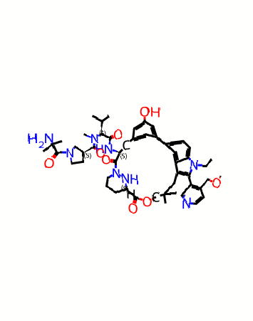 CCn1c(-c2cnccc2COC)c2c3cc(ccc31)-c1cc(O)cc(c1)C[C@H](NC(=O)[C@H](C(C)C)N(C)C(=O)[C@H]1CCN(C(=O)C(C)(C)N)C1)C(=O)N1CCC[C@H](N1)C(=O)OCC(C)(C)C2